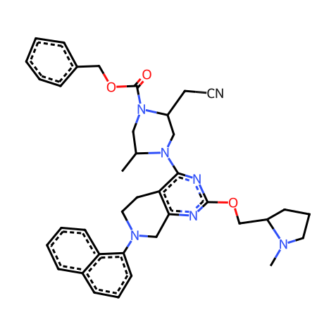 CC1CN(C(=O)OCc2ccccc2)C(CC#N)CN1c1nc(OCC2CCCN2C)nc2c1CCN(c1cccc3ccccc13)C2